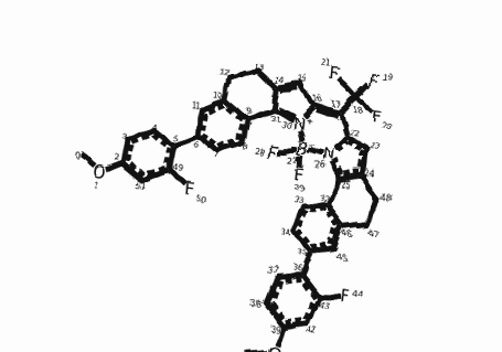 COc1ccc(-c2ccc3c(c2)CCC2=CC4=C(C(F)(F)F)c5cc6c(n5[B-](F)(F)[N+]4=C23)-c2ccc(-c3ccc(OC)cc3F)cc2CC6)c(F)c1